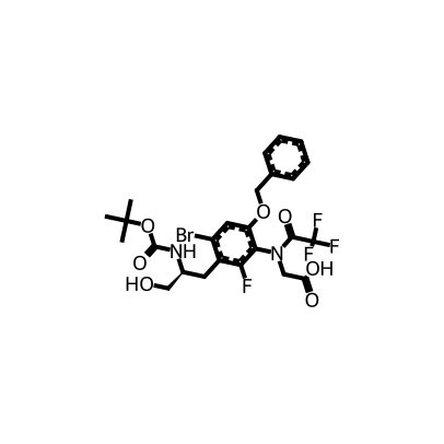 CC(C)(C)OC(=O)N[C@H](CO)Cc1c(Br)cc(OCc2ccccc2)c(N(CC(=O)O)C(=O)C(F)(F)F)c1F